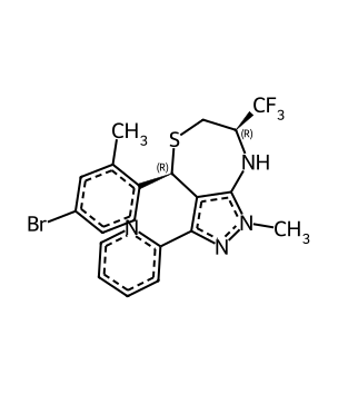 Cc1cc(Br)ccc1[C@H]1SC[C@@H](C(F)(F)F)Nc2c1c(-c1ccccn1)nn2C